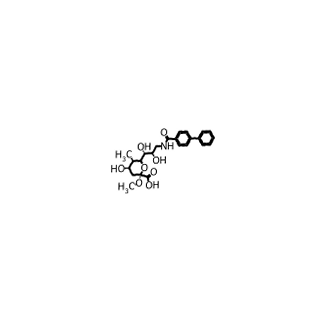 CO[C@]1(C(=O)O)C[C@@H](O)[C@@H](C)C([C@H](O)[C@H](O)CNC(=O)c2ccc(-c3ccccc3)cc2)O1